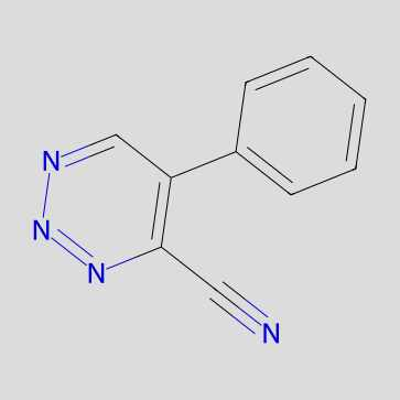 N#Cc1nnncc1-c1ccccc1